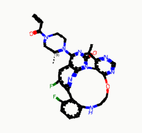 C=CC(=O)N1CCN(c2nc(=O)n3c4nc(c(F)cc24)-c2c(F)cccc2NCCOc2ncnc(C(C)C)c2-3)[C@H](C)C1